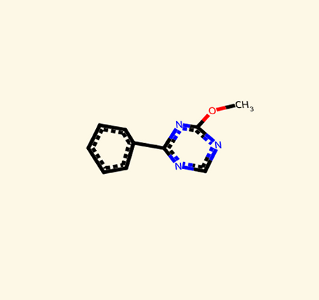 COc1ncnc(-c2ccccc2)n1